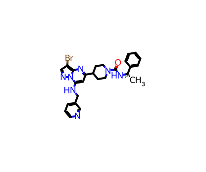 C[C@H](NC(=O)N1CCC(c2cc(NCc3cccnc3)n3ncc(Br)c3n2)CC1)c1ccccc1